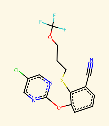 N#Cc1cccc(Oc2ncc(Cl)cn2)c1SCCCOC(F)(F)F